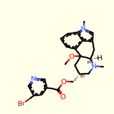 COC12C[C@@H](COC(=O)c3cncc(Br)c3)CN(C)[C@@H]1Cc1cn(C)c3cccc2c13